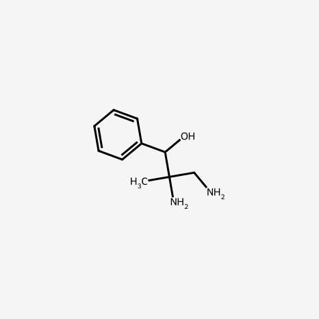 CC(N)(CN)C(O)c1ccccc1